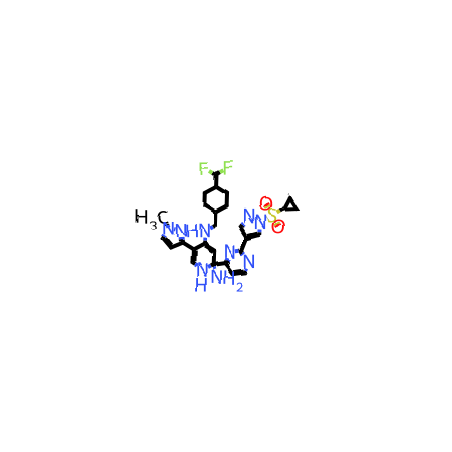 Cn1ccc(C2=CNC(N)(c3ccnc(-c4cnn(S(=O)(=O)C5CC5)c4)n3)C=C2NCC2CCC(C(F)F)CC2)n1